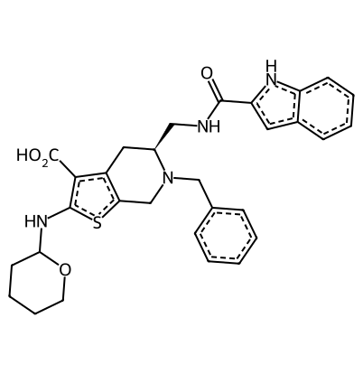 O=C(NC[C@@H]1Cc2c(sc(NC3CCCCO3)c2C(=O)O)CN1Cc1ccccc1)c1cc2ccccc2[nH]1